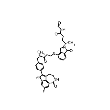 CC(CCC(=O)NC=O)N1Cc2c(SCCC(=O)N(C)Cc3ccc(-c4[nH]c5cc(F)cc6c5c4CCNC6=O)cc3)cccc2C1=O